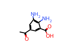 CC(=O)c1cc(N)c(N)c(C(=O)O)c1